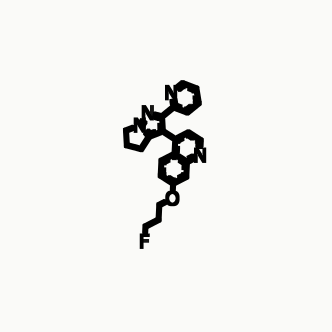 FCCCOc1ccc2c(-c3c(-c4ccccn4)nn4c3CCC4)ccnc2c1